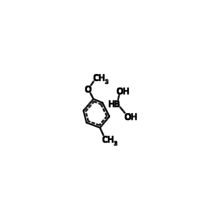 COc1ccc(C)cc1.OBO